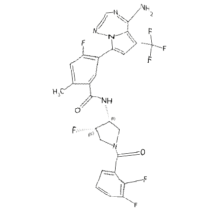 Cc1cc(F)c(-c2cc(C(F)(F)F)c3c(N)ncnn23)cc1C(=O)N[C@@H]1CN(C(=O)c2cccc(F)c2F)C[C@@H]1F